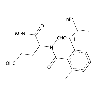 CCCN(C)Nc1cccc(C)c1C(=O)N(C=O)C(CCC=O)C(=O)NC